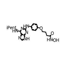 CCCC(C)Nc1nc(Nc2ccc(OCCCC(=O)NO)cc2)nc2[nH]cnc12